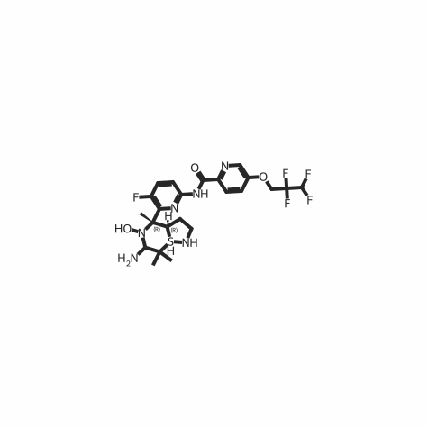 CC1(C)C(N)N(O)[C@](C)(c2nc(NC(=O)c3ccc(OCC(F)(F)C(F)F)cn3)ccc2F)[C@H]2CCN[SH]21